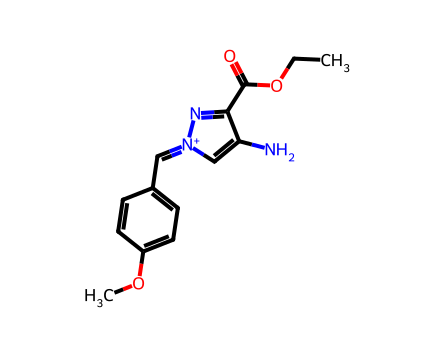 CCOC(=O)C1=N[N+](=Cc2ccc(OC)cc2)C=C1N